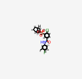 Cc1cc(NC(=O)c2ccc(Cl)c(S(=O)(=O)C3CC4CC[C@@H](C3)[C@]4(C)O)c2)ccc1F